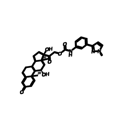 Cn1ccc(-c2cccc(NC(=O)OCC(=O)[C@@]3(O)CCC4C5CCC6=CC(=O)C=CC6(C)C5[C@@H](O)CC43C)c2)n1